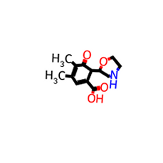 CC1=C(C)C(=O)C(C2CNCCO2)C(C(=O)O)=C1